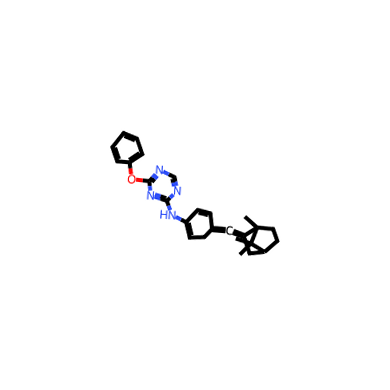 CC12CCC(CC1=C=C1C=CC(Nc3ncnc(Oc4ccccc4)n3)=CC1)C2(C)C